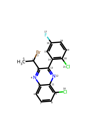 CC(Br)c1nc2cccc(Cl)c2nc1-c1cc(F)ccc1Cl